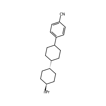 CCC[C@H]1CC[C@H](C2CCC(c3ccc(C#N)cc3)CC2)CC1